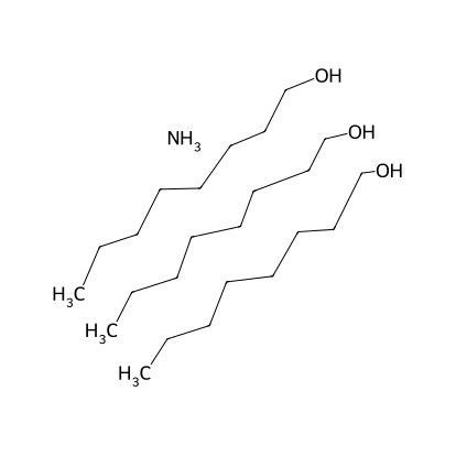 CCCCCCCCO.CCCCCCCCO.CCCCCCCCO.N